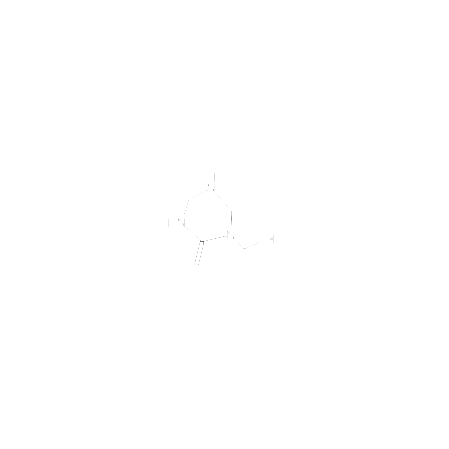 O=C1NCNCN1CO